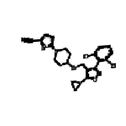 N#Cc1ccc(N2CCC(OCc3c(-c4c(Cl)cccc4Cl)noc3C3CC3)CC2)s1